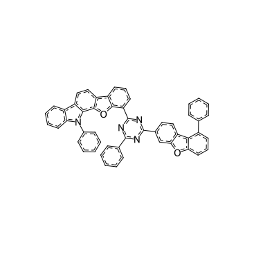 c1ccc(-c2nc(-c3ccc4c(c3)oc3cccc(-c5ccccc5)c34)nc(-c3cccc4c3oc3c4ccc4c5ccccc5n(-c5ccccc5)c43)n2)cc1